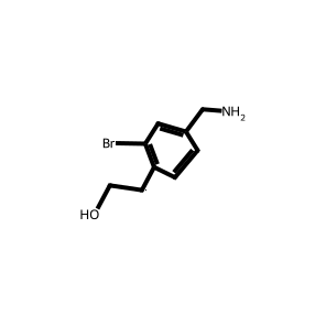 NCc1ccc([CH]CO)c(Br)c1